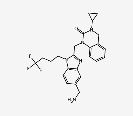 NCc1ccc2c(c1)nc(CN1C(=O)N(C3CC3)Cc3ccccc31)n2CCCC(F)(F)F